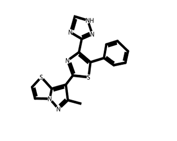 Cc1nn2ccsc2c1-c1nc(-c2nc[nH]n2)c(-c2ccccc2)s1